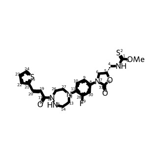 COC(=S)NC[C@H]1CN(c2ccc(N3CCNN(C(=O)/C=C/c4cccs4)CC3)c(F)c2)C(=O)O1